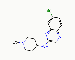 CCN1CCC(Nc2cnc3ccc(Br)cc3n2)CC1